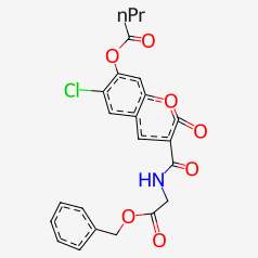 CCCC(=O)Oc1cc2oc(=O)c(C(=O)NCC(=O)OCc3ccccc3)cc2cc1Cl